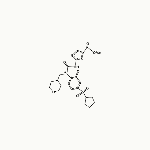 COC(=O)c1cnc(NC(=O)[C@@H](CC2CCOCC2)n2ccc(S(=O)(=O)C3CCCC3)cc2=O)s1